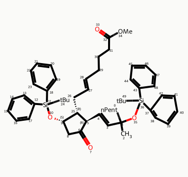 CCCCCC(C)(C=C[C@H]1C(=O)C[C@H](O[Si](c2ccccc2)(c2ccccc2)C(C)(C)C)[C@@H]1CC=CCCCC(=O)OC)O[Si](c1ccccc1)(c1ccccc1)C(C)(C)C